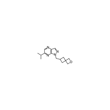 CC(C)c1cnc2cnn(CC3CC4(COC4)C3)c2n1